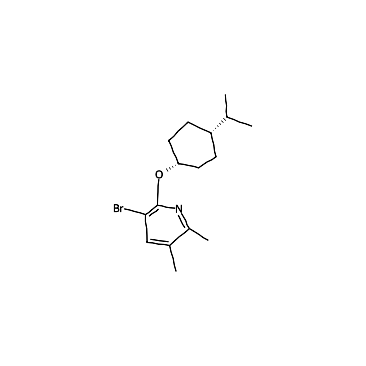 Cc1cc(Br)c(O[C@H]2CC[C@@H](C(C)C)CC2)nc1C